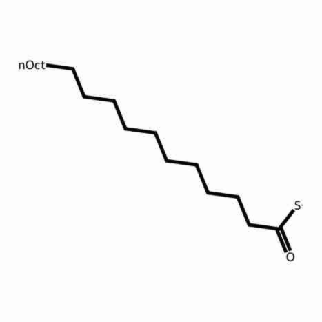 CCCCCCCCCCCCCCCCCCC(=O)[S]